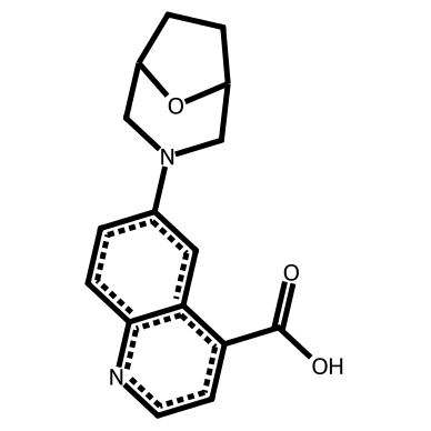 O=C(O)c1ccnc2ccc(N3CC4CCC(C3)O4)cc12